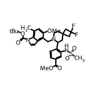 COC(=O)c1ccc(C2CC3(CCN2Cc2c(OC)cc(C)c4c2ccn4C(=O)OC(C)(C)C)CC(F)(F)C3)c(NS(C)(=O)=O)c1